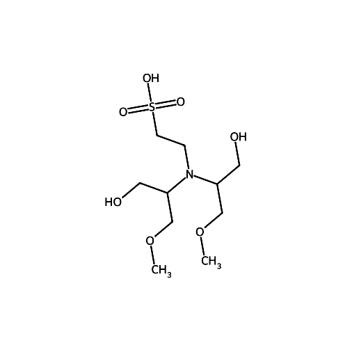 COCC(CO)N(CCS(=O)(=O)O)C(CO)COC